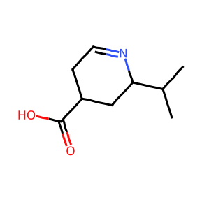 CC(C)C1CC(C(=O)O)CC=N1